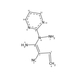 C=C/C(C#N)=C(/N)N(N)c1ncccn1